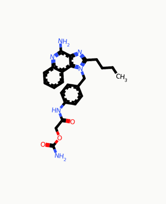 CCCCc1nc2c(N)nc3ccccc3c2n1Cc1ccc(NC(=O)COC(N)=O)cc1